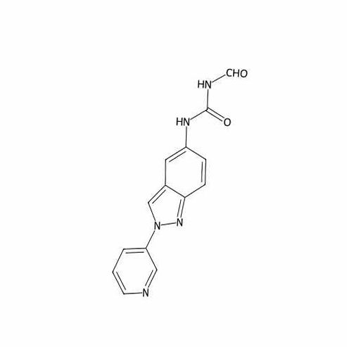 O=CNC(=O)Nc1ccc2nn(-c3cccnc3)cc2c1